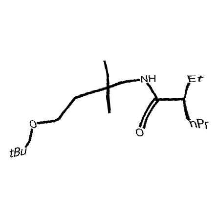 CCCC(CC)C(=O)NC(C)(C)CCOC(C)(C)C